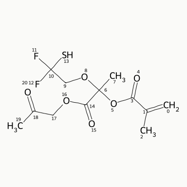 C=C(C)C(=O)OC(C)(OCC(F)(F)S)C(=O)OCC(C)=O